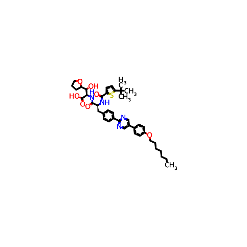 CCCCCCCOc1ccc(-c2cnc(-c3ccc(C[C@H](NC(=O)c4ccc(C(C)(C)C)s4)C(=O)NC(C(=O)O)C(O)C4CCCO4)cc3)nc2)cc1